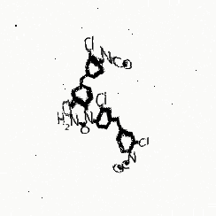 NC(=O)N(c1ccc(Cc2ccc(N=C=O)c(Cl)c2)cc1Cl)c1ccc(Cc2ccc(N=C=O)c(Cl)c2)cc1Cl